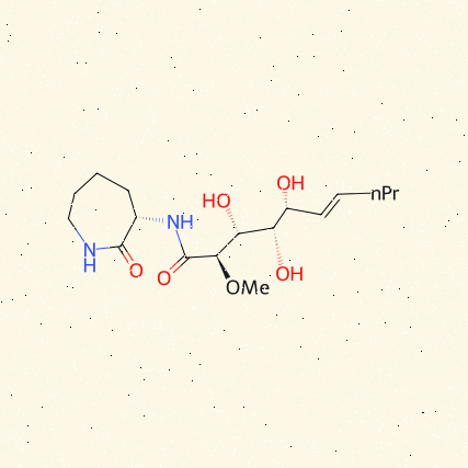 CCC/C=C/[C@@H](O)[C@H](O)[C@@H](O)[C@@H](OC)C(=O)N[C@H]1CCCCNC1=O